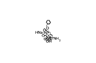 NC(=O)/C=C1/CN(C(=O)OCc2ccccc2)[C@@H]2C(=O)N(S(=O)(=O)O)[C@H]12.[NaH]